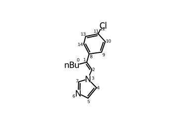 CCCCC(=Cn1ccnc1)c1ccc(Cl)cc1